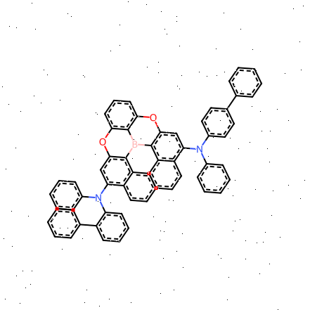 c1ccc(-c2ccc(N(c3ccccc3)c3cc4c(c5ccccc35)B3c5c(cccc5Oc5cc(N(c6ccccc6)c6ccccc6-c6ccccc6)c6ccccc6c53)O4)cc2)cc1